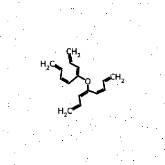 C=C/C=C\C(=C/C=C)OC(/C=C\C=C)=C/C=C